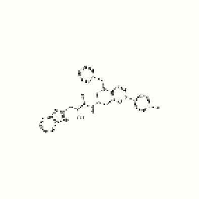 O=C(NC1Cc2cc(-c3ccc(F)cc3)ccc2N(Cc2ccccc2)C1)C(O)Cc1cc2ccccc2[nH]1